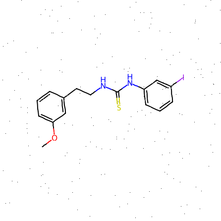 COc1cccc(CCNC(=S)Nc2cccc(I)c2)c1